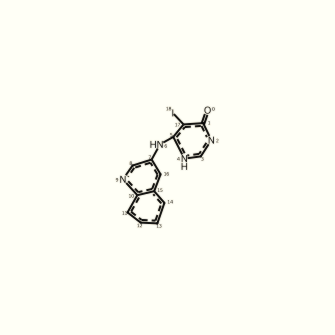 O=c1nc[nH]c(Nc2cnc3ccccc3c2)c1I